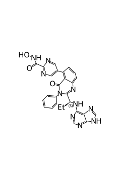 CC[C@H](Nc1ncnc2[nH]cnc12)c1nc2cccc(-c3cnc(C(=O)NO)nc3)c2c(=O)n1-c1ccccc1